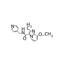 CCOc1cccn2c(C(=O)NCc3ccncc3)c(C)nc12